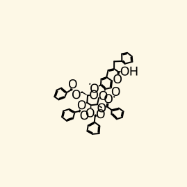 COc1cc(C=C(Cc2ccccc2)C(=O)O)cc(OC)c1O[C@H]1O[C@H](COC(=O)c2ccccc2)[C@@H](OC(=O)c2ccccc2)[C@H](OC(=O)c2ccccc2)[C@@H]1OC(=O)c1ccccc1